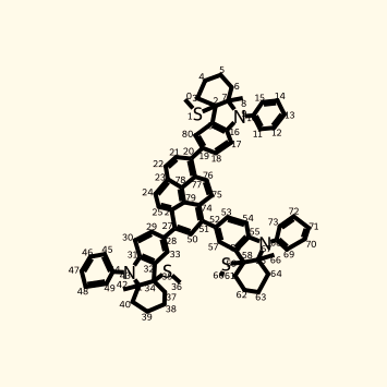 CSC12CCCCC1(C)N(c1ccccc1)c1ccc(-c3ccc4ccc5c(-c6ccc7c(c6)C6(SC)CCCCC6(C)N7c6ccccc6)cc(-c6ccc7c(c6)C6(SC)CCCCC6(C)N7c6ccccc6)c6ccc3c4c56)cc12